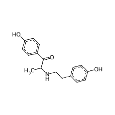 CC(NCCc1ccc(O)cc1)C(=O)c1ccc(O)cc1